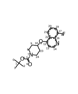 CC(C)(C)OC(=O)N1CCC(Oc2ccnc3c(F)cccc23)CC1